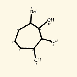 OC1CCCC(O)C(O)C1O